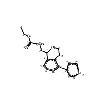 CCOC(=O)NCC1OCCc2c(-c3ccncc3)cccc21